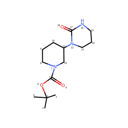 CC(C)(C)OC(=O)N1CCCC(N2CCCNC2=O)C1